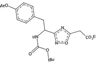 CCOC(=O)Cc1nc(C(Cc2ccc(OC)cc2)NC(=O)OC(C)(C)C)no1